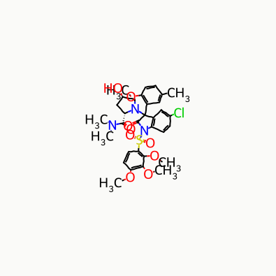 COc1ccc(C)cc1C1(N2C[C@H](O)C[C@H]2C(=O)N(C)C)C(=O)N(S(=O)(=O)c2ccc(OC)c(OC)c2OC)c2ccc(Cl)cc21